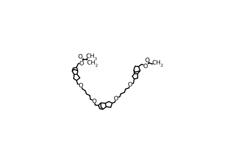 C=CC(=O)OCC1CC2CC1C1CC(COCCCCCOCC3CC4C5CC(COCCCCCOCC6CC7C8CC(COC(=O)C(=C)C)C(C8)C7C6)C(C5)C4C3)CC21